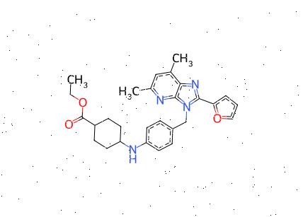 CCOC(=O)C1CCC(Nc2ccc(Cn3c(-c4ccco4)nc4c(C)cc(C)nc43)cc2)CC1